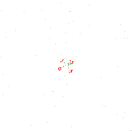 [O][Cl+3]([O-])([O-])[O-]